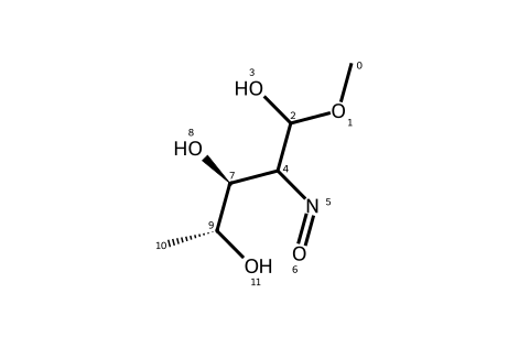 COC(O)C(N=O)[C@H](O)[C@@H](C)O